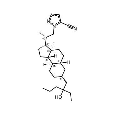 CCCC(O)(CC)C[C@H]1CC[C@@H]2[C@H](CC[C@]3(C)[C@@H]([C@H](C)Cn4nccc4C#N)CC[C@@H]23)C1